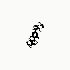 Cc1cc(-c2scc3c2OCCO3)cc(C)c1-c1scc2c1OCCO2